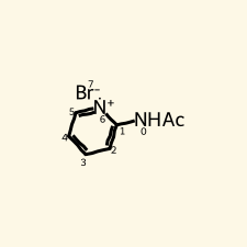 CC(=O)NC1=CC=CC=[N+]1.[Br-]